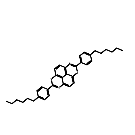 CCCCCCc1ccc(C2=Nc3ccc4c5c(ccc(c35)S2)N=C(c2ccc(CCCCCC)cc2)S4)cc1